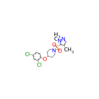 Cc1cnn(C)c1S(=O)(=O)N1CCC(Oc2ccc(Cl)cc2Cl)CC1